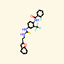 O=C(Nc1ccc(NC(=S)NCCc2cc3ccccc3o2)cc1C(F)(F)F)c1ccccc1F